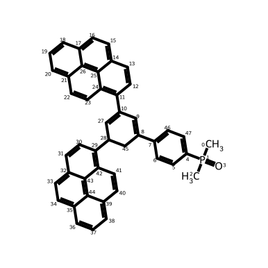 CP(C)(=O)c1ccc(C2=CC(c3ccc4ccc5cccc6ccc3c4c56)=CC(c3ccc4ccc5cccc6ccc3c4c56)C2)cc1